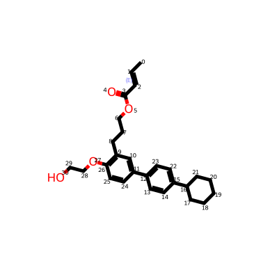 C/C=C/C(=O)OCCCc1cc(-c2ccc(C3CCCCC3)cc2)ccc1OCCO